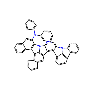 c1ccc(N(c2ccccc2)c2cc3ccccc3c3c4c5ccccc5cc5c6c7c8cccc9c%10ccccc%10n(c7cnc6n(c23)c54)c98)cc1